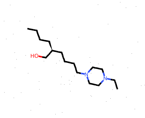 CCCC[C@H](CO)CCCCN1CCN(CC)CC1